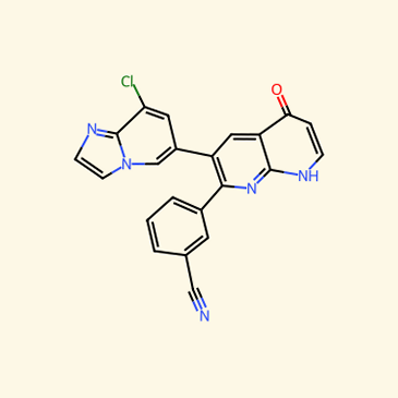 N#Cc1cccc(-c2nc3[nH]ccc(=O)c3cc2-c2cc(Cl)c3nccn3c2)c1